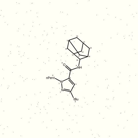 CCCCCn1nc(C(C)(C)C)cc1C(=O)NC1C2CC3CC(C2)CC1C3